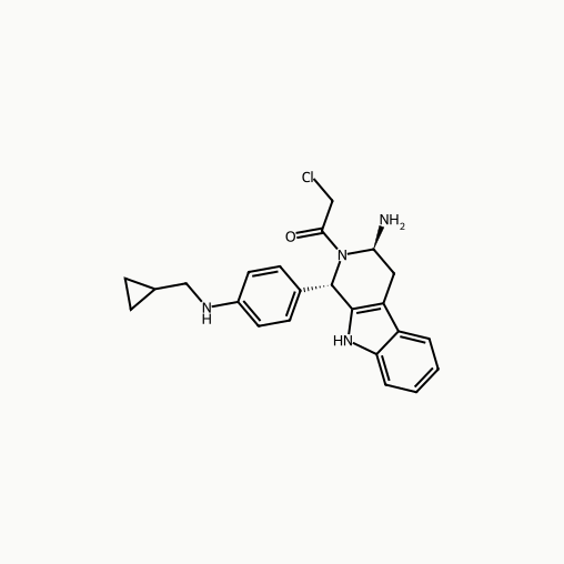 N[C@H]1Cc2c([nH]c3ccccc23)[C@H](c2ccc(NCC3CC3)cc2)N1C(=O)CCl